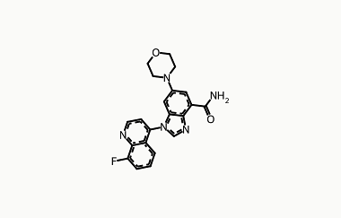 NC(=O)c1cc(N2CCOCC2)cc2c1ncn2-c1ccnc2c(F)cccc12